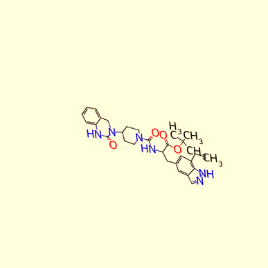 CCc1cc(CC(NC(=O)N2CCC(N3Cc4ccccc4NC3=O)CC2)C(=O)OC(C)(C)C)cc2cn[nH]c12